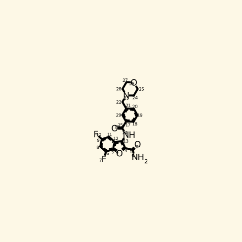 NC(=O)c1oc2c(F)cc(F)cc2c1NC(=O)c1cccc(CN2CCOCC2)c1